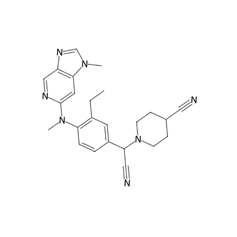 CCc1cc(C(C#N)N2CCC(C#N)CC2)ccc1N(C)c1cc2c(cn1)ncn2C